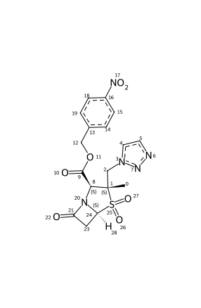 C[C@]1(Cn2ccnn2)[C@H](C(=O)OCc2ccc([N+](=O)[O-])cc2)N2C(=O)C[C@@H]2S1(=O)=O